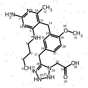 CCCCNc1nc(N)nc(C)c1Cc1cc(CC2=NNNN2CC(=O)O)ccc1OC